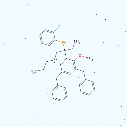 CCCCCC(CC)(Pc1ccccc1F)c1cc(Cc2ccccc2)cc(Cc2ccccc2)c1OC